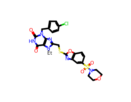 CCn1c(CSc2nc3cc(S(=O)(=O)N4CCOCC4)ccc3o2)nc2c1c(=O)[nH]c(=O)n2Cc1ccc(Cl)cc1